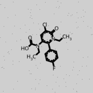 CCN(C(=O)O)c1cc(Cl)c(=O)n(CC)c1-c1ccc(F)cc1